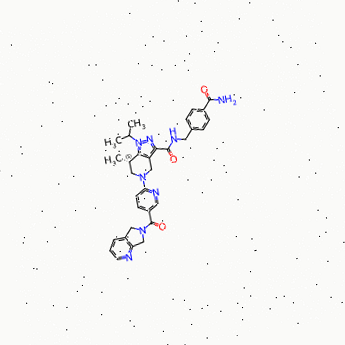 CC(C)n1nc(C(=O)NCc2ccc(C(N)=O)cc2)c2c1[C@@H](C)CN(c1ccc(C(=O)N3Cc4cccnc4C3)cn1)C2